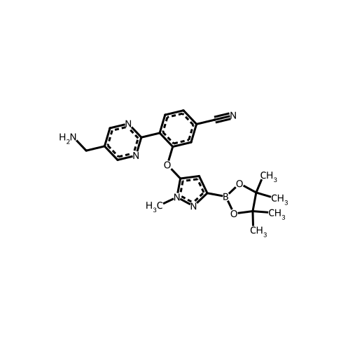 Cn1nc(B2OC(C)(C)C(C)(C)O2)cc1Oc1cc(C#N)ccc1-c1ncc(CN)cn1